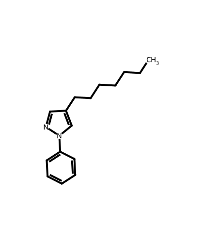 CCCCCCCc1cnn(-c2ccccc2)c1